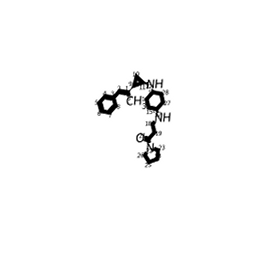 C/C(=C\c1ccccc1)[C@@H]1C[C@H]1N[C@H]1CC[C@H](NCCC(=O)N2CCCC2)CC1